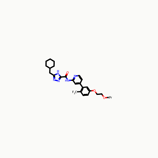 CC(C)OCCOc1ccc(C(F)(F)F)c(-c2ccnc(NC(=O)c3nnc(CC4CCCCC4)[nH]3)c2)c1